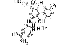 CC(C)c1cccc(-c2cc(C(CC(=O)O)C(=O)O)cc(-c3nc4cc(C(=N)N)ccc4[nH]3)c2O)c1.Cl